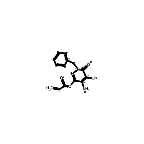 C=CC(=O)Oc1nn(Cc2ccccc2)c(=O)c(Cl)c1N